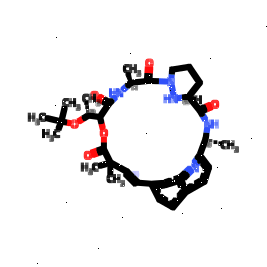 C[C@@H]1NC(=O)C([C@@H](C)OC(C)(C)C)OC(=O)C(C)(C)/C=C/c2ccc3ccc(nc3c2)[C@@H](C)NC(=O)[C@@H]2CCCN(N2)C1=O